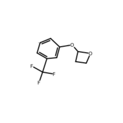 FC(F)(F)c1c[c]cc(OC2CCO2)c1